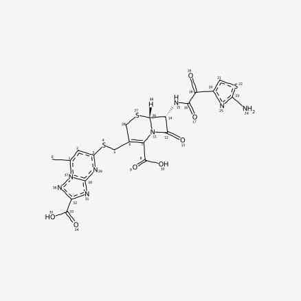 Cc1cc(SCC2=C(C(=O)O)N3C(=O)[C@@H](NC(=O)C(=O)c4csc(N)n4)[C@H]3SC2)nc2nc(C(=O)O)nn12